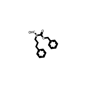 O=CN(CCCc1ccccc1)C(=O)OCc1ccccc1